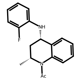 CC(=O)N1c2ccccc2[C@@H](Nc2ccccc2F)C[C@H]1C